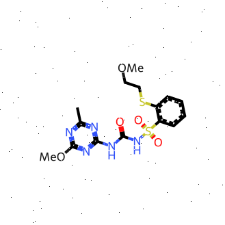 COCCSc1ccccc1S(=O)(=O)NC(=O)Nc1nc(C)nc(OC)n1